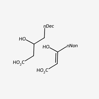 CCCCCCCCC/C(O)=C/C(=O)O.CCCCCCCCCCCC(O)CC(=O)O